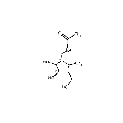 CC(=O)NC[C@H]1C(O)[C@H](O)C(CO)N1C